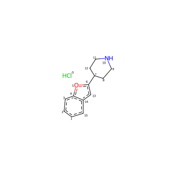 Cl.c1ccc2oc(C3CCNCC3)cc2c1